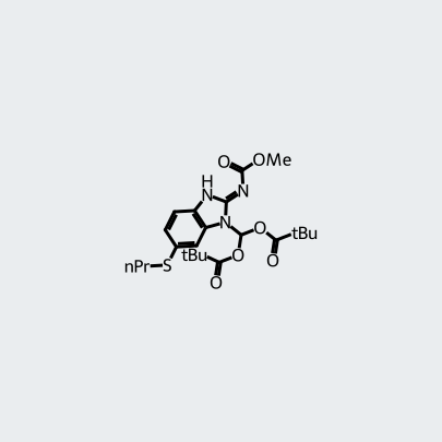 CCCSc1ccc2[nH]c(=NC(=O)OC)n(C(OC(=O)C(C)(C)C)OC(=O)C(C)(C)C)c2c1